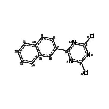 Clc1nc(Cl)nc(-c2ccc3ccccc3c2)n1